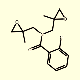 CC1(CN(CC2(C)CO2)C(=O)c2ccccc2Cl)CO1